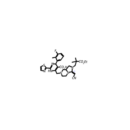 CCOC(=O)C(C)(C)CN1CC2CN(CC3=C(C(=O)O)C(c4cccc(F)c4C)N=C(c4nccs4)N3)CCN2/C1=C\C#N